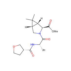 COC(=O)[C@@H]1[C@@H]2[C@H](CN1C(=O)[C@@H](NC(=O)[C@@H]1CCOC1)C(C)C)C2(C)C